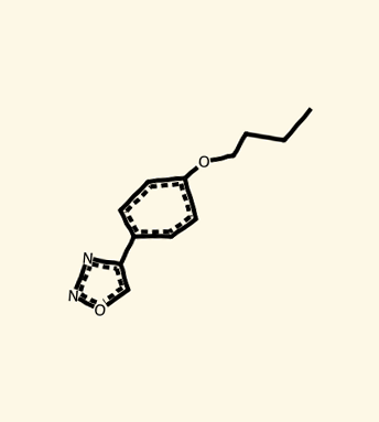 CCCCOc1ccc(-c2conn2)cc1